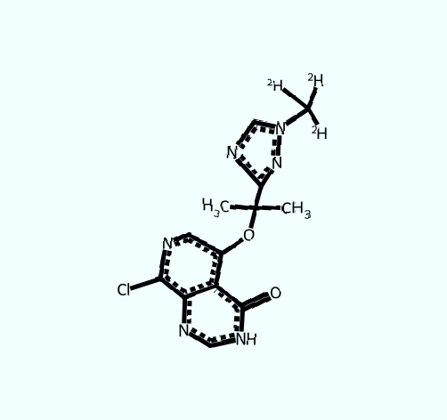 [2H]C([2H])([2H])n1cnc(C(C)(C)Oc2cnc(Cl)c3nc[nH]c(=O)c23)n1